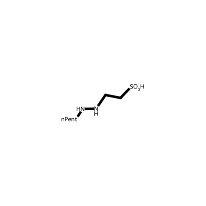 CCCCCNNCCS(=O)(=O)O